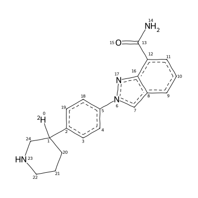 [2H]C1(c2ccc(-n3cc4cccc(C(N)=O)c4n3)cc2)CCCNC1